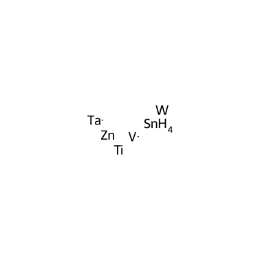 [SnH4].[Ta].[Ti].[V].[W].[Zn]